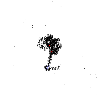 CCCCC/C=C\C/C=C\CCCCCCCCOC(=O)O[C@@H](C(=O)O[C@H]1C[C@@]2(O)[C@@H](OC(=O)c3ccccc3)[C@@H]3[C@]4(OC(C)=O)CO[C@@H]4C[C@H](O)[C@@]3(C)C(=O)[C@H](OC(C)=O)C(=C1C)C2(C)C)[C@@H](NC(=O)c1ccccc1)c1ccccc1